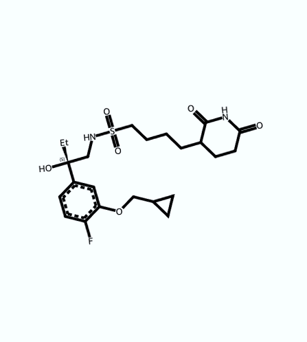 CC[C@@](O)(CNS(=O)(=O)CCCCC1CCC(=O)NC1=O)c1ccc(F)c(OCC2CC2)c1